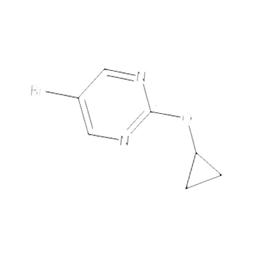 Brc1cnc(OC2CC2)nc1